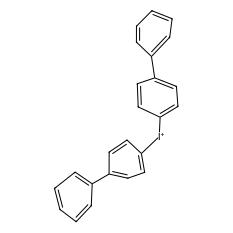 c1ccc(-c2ccc([I+]c3ccc(-c4ccccc4)cc3)cc2)cc1